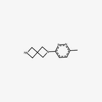 Cc1ccc(N2CC3(CNC3)C2)nn1